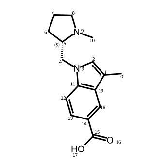 Cc1cn(C[C@@H]2CCCN2C)c2ccc(C(=O)O)cc12